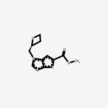 COC(=O)c1cc2c(ncn2C[C@@H]2CCO2)s1